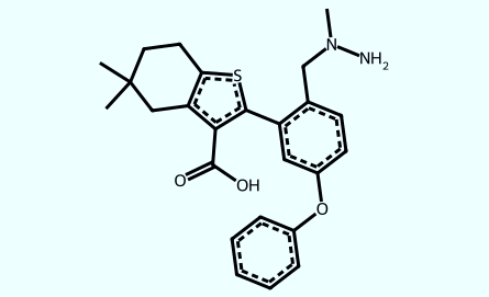 CN(N)Cc1ccc(Oc2ccccc2)cc1-c1sc2c(c1C(=O)O)CC(C)(C)CC2